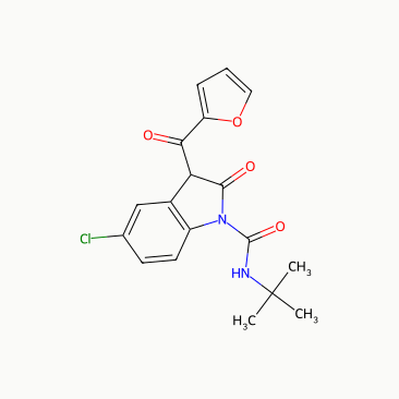 CC(C)(C)NC(=O)N1C(=O)C(C(=O)c2ccco2)c2cc(Cl)ccc21